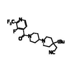 CC(C)(C)C1(CC#N)CCN(C2CCN(C(=O)c3ccnc(C(F)(F)F)c3F)CC2)CC1